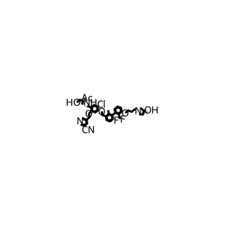 CC(=O)[C@](C)(CO)NCc1cc(Cl)c(OCc2cccc(-c3cccc(OCCCN4CC[C@@H](O)C4)c3C(F)F)c2C)cc1OCc1cncc(C#N)c1